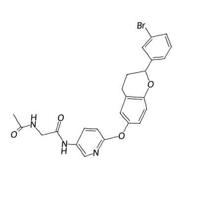 CC(=O)NCC(=O)Nc1ccc(Oc2ccc3c(c2)CCC(c2cccc(Br)c2)O3)nc1